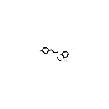 COc1ccc2c(c1)N(C(=O)C=Cc1ccc([N+](=O)[O-])cc1)CCN2